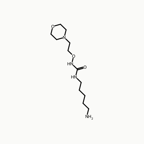 NCCCCCNC(=O)NOCCN1CCOCC1